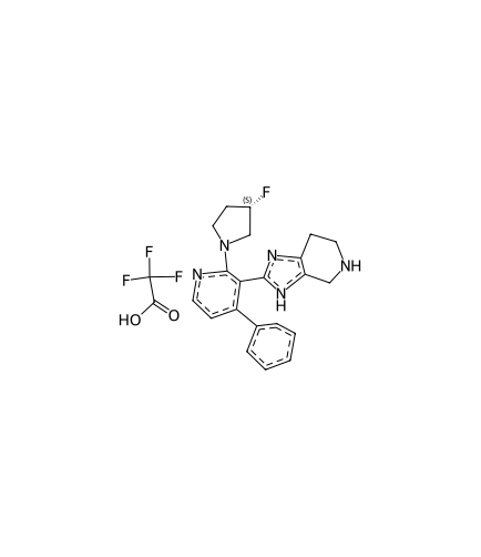 F[C@H]1CCN(c2nccc(-c3ccccc3)c2-c2nc3c([nH]2)CNCC3)C1.O=C(O)C(F)(F)F